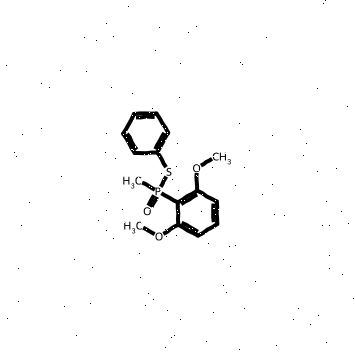 COc1cccc(OC)c1P(C)(=O)Sc1ccccc1